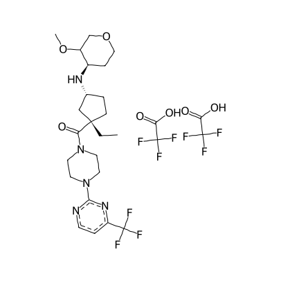 CC[C@]1(C(=O)N2CCN(c3nccc(C(F)(F)F)n3)CC2)CC[C@@H](N[C@@H]2CCOCC2OC)C1.O=C(O)C(F)(F)F.O=C(O)C(F)(F)F